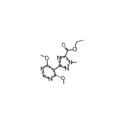 CCOC(=O)c1nc(-c2c(OC)ncnc2OC)nn1C